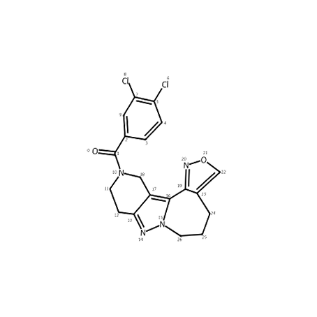 O=C(c1ccc(Cl)c(Cl)c1)N1CCc2nn3c(c2C1)-c1nocc1CCC3